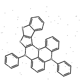 c1ccc(N2c3ccccc3B3c4c2cccc4N(c2ccccc2)c2sc4sc5ccccc5c4c23)cc1